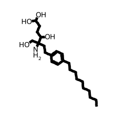 CCCCCCCCCCc1ccc(CCC(N)(CO)C(O)CCC(O)O)cc1